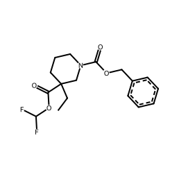 CCC1(C(=O)OC(F)F)CCCN(C(=O)OCc2ccccc2)C1